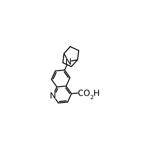 O=C(O)c1ccnc2ccc(N3C4CCC3CC4)cc12